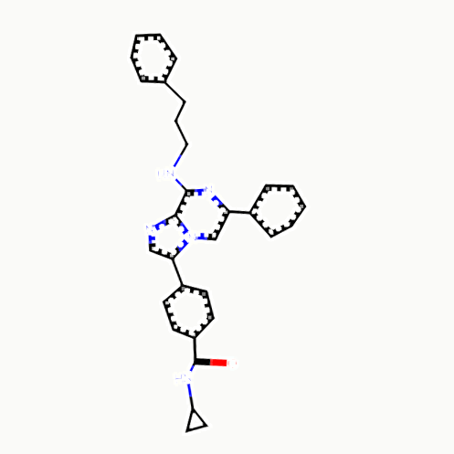 O=C(NC1CC1)c1ccc(-c2cnc3c(NCCCc4ccccc4)nc(-c4ccccc4)cn23)cc1